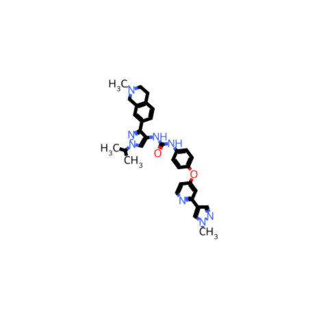 CC(C)n1cc(NC(=O)Nc2ccc(Oc3ccnc(-c4cnn(C)c4)c3)cc2)c(-c2ccc3c(c2)CN(C)CC3)n1